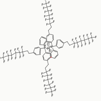 FC(F)(F)C(F)(F)C(F)(F)C(F)(F)C(F)(F)C(F)(F)CCc1ccc([PH](c2ccccc2)(c2ccc(CCC(F)(F)C(F)(F)C(F)(F)C(F)(F)C(F)(F)C(F)(F)F)cc2)[Pt]([Cl])([Cl])[PH](c2ccccc2)(c2ccc(CCC(F)(F)C(F)(F)C(F)(F)C(F)(F)C(F)(F)C(F)(F)F)cc2)c2ccc(CCC(F)(F)C(F)(F)C(F)(F)C(F)(F)C(F)(F)C(F)(F)F)cc2)cc1